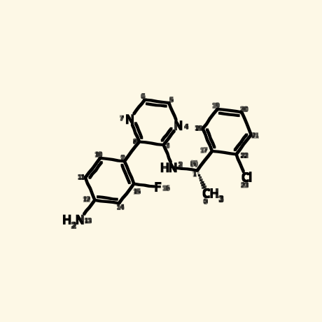 C[C@H](Nc1nccnc1-c1ccc(N)cc1F)c1ccccc1Cl